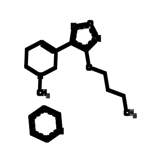 CCCCOc1nonc1C1=CCCN(C)C1.c1ccncc1